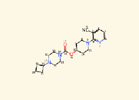 N#Cc1cccnc1N1CCC(OC(=O)N2CCN(C3CCC3)CC2)CC1